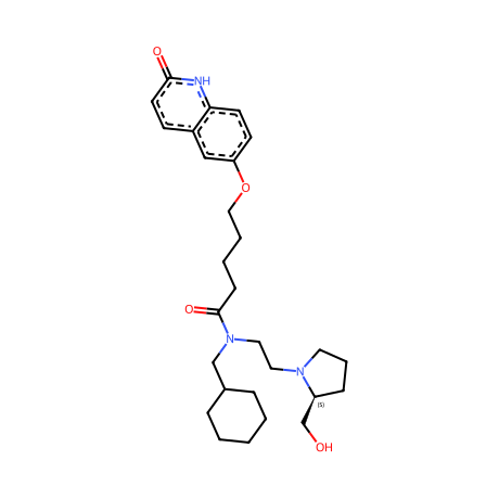 O=C(CCCCOc1ccc2[nH]c(=O)ccc2c1)N(CCN1CCC[C@H]1CO)CC1CCCCC1